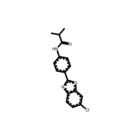 CC(C)C(=O)Nc1ccc(-c2nc3ccc(Cl)cc3o2)cc1